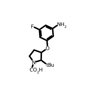 CC(C)(C)C1C(Oc2cc(N)cc(F)c2)CCN1C(=O)O